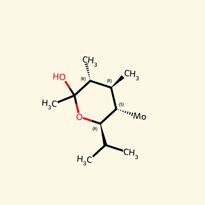 CC(C)[C@H]1OC(C)(O)[C@H](C)[C@@H](C)[C@@H]1[Mo]